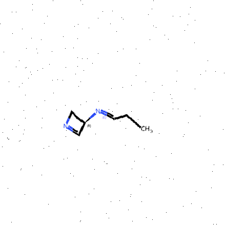 CC/C=N/[C@H]1C=NC1